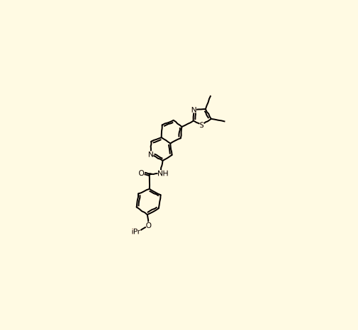 Cc1nc(-c2ccc3cnc(NC(=O)c4ccc(OC(C)C)cc4)cc3c2)sc1C